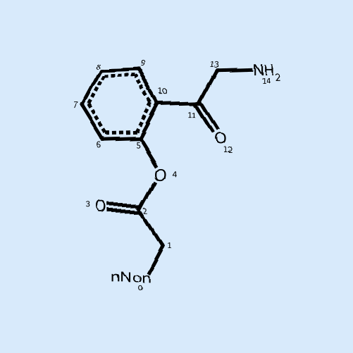 CCCCCCCCCCC(=O)Oc1ccccc1C(=O)CN